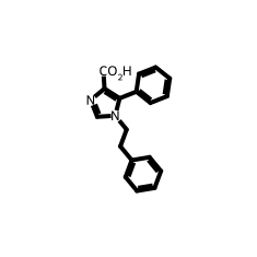 O=C(O)c1ncn(CCc2ccccc2)c1-c1ccccc1